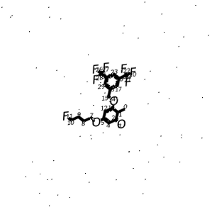 CC1C(=O)C=C(OCCCCF)C=C1OCc1cc(C(F)(F)F)cc(C(F)(F)F)c1